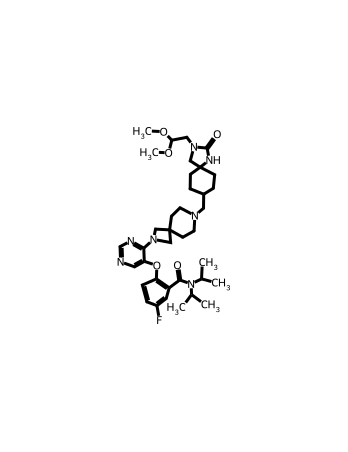 COC(CN1CC2(CCC(CN3CCC4(CC3)CN(c3ncncc3Oc3ccc(F)cc3C(=O)N(C(C)C)C(C)C)C4)CC2)NC1=O)OC